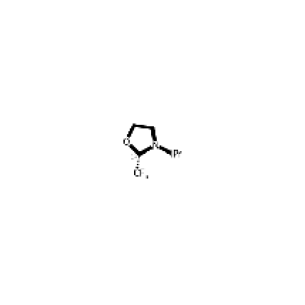 CC(C)N1CCO[C@H]1C(F)(F)F